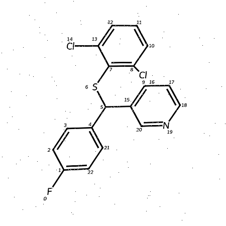 Fc1ccc(C(Sc2c(Cl)cccc2Cl)c2cccnc2)cc1